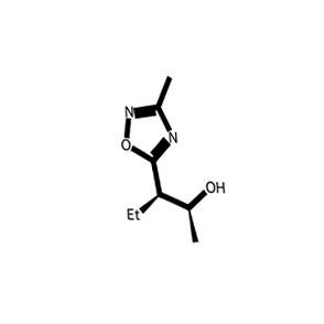 CC[C@@H](c1nc(C)no1)[C@H](C)O